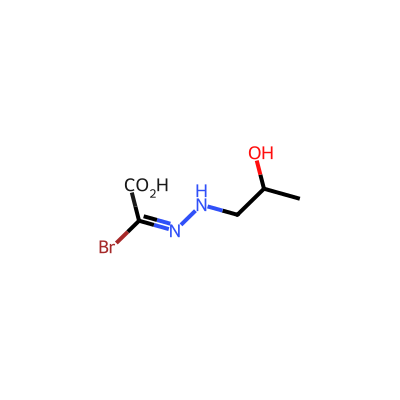 CC(O)CN/N=C(/Br)C(=O)O